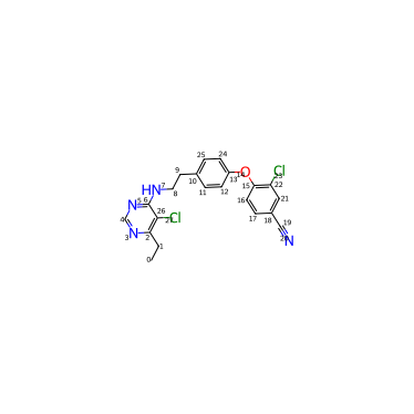 CCc1ncnc(NCCc2ccc(Oc3ccc(C#N)cc3Cl)cc2)c1Cl